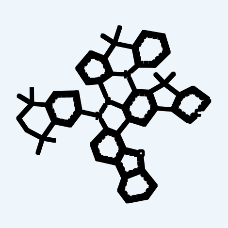 CC1(C)CCC(C)(C)c2cc(N3B4c5cccc6c5N(c5ccccc5C6(C)C)c5c4c(cc4c5C(C)(C)c5ccccc5-4)-c4c3ccc3c4oc4ccccc43)ccc21